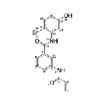 C=CC(=O)Nc1cccc(C(=O)Nc2cc(O)ccc2Br)c1